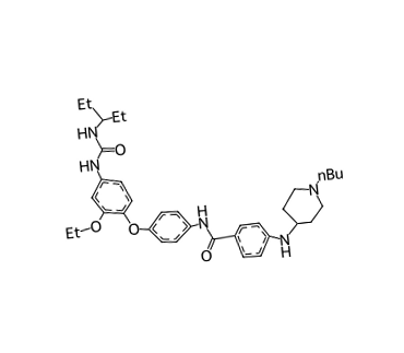 CCCCN1CCC(Nc2ccc(C(=O)Nc3ccc(Oc4ccc(NC(=O)NC(CC)CC)cc4OCC)cc3)cc2)CC1